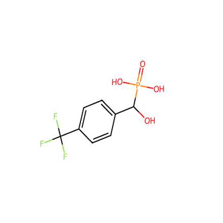 O=P(O)(O)C(O)c1ccc(C(F)(F)F)cc1